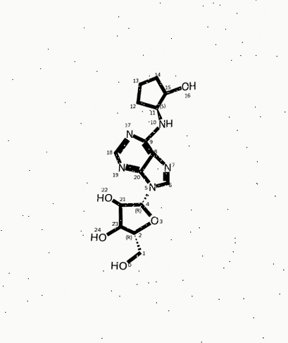 OC[C@H]1O[C@@H](n2cnc3c(N[C@H]4CCCC4O)ncnc32)C(O)C1O